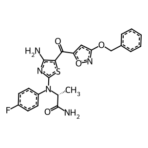 C[C@H](C(N)=O)N(c1ccc(F)cc1)c1nc(N)c(C(=O)c2cc(OCc3ccccc3)no2)s1